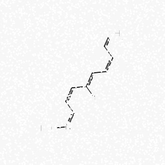 C=C\C=C/C=C(I)/C=C\C=N/C